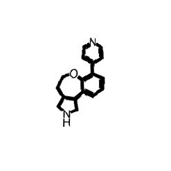 c1cc(-c2ccncc2)c2c(c1)C1CNCC1CCO2